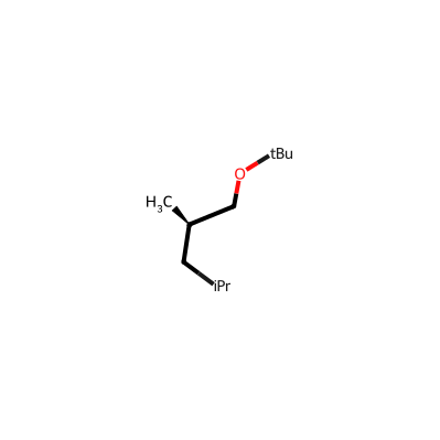 [CH2]C(C)C[C@@H](C)COC(C)(C)C